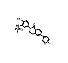 CC(C)(C)c1ncc(-c2ccc3c(c2)CCN(c2ccc(O)c(NS(C)(=O)=O)c2)C3=O)cn1